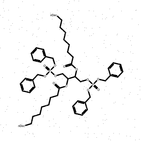 CCCCCCCCCCCCCCCCCC(=O)OC(COP(=O)(OCc1ccccc1)OCc1ccccc1)C(COP(=O)(OCc1ccccc1)OCc1ccccc1)OC(=O)CCCCCCCCCCCCCCCCC